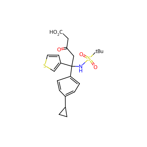 CC(C)(C)S(=O)(=O)NC(CC(=O)CC(=O)O)(c1ccc(C2CC2)cc1)c1ccsc1